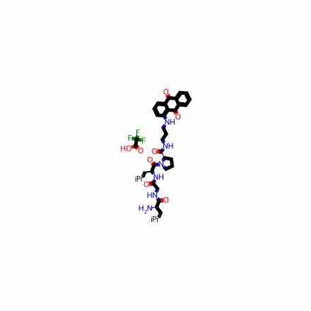 CC(C)C[C@H](NC(=O)CNC(=O)[C@@H](N)CC(C)C)C(=O)N1CCC[C@H]1C(=O)NCCCNc1cccc2c1C(=O)c1ccccc1C2=O.O=C(O)C(F)(F)F